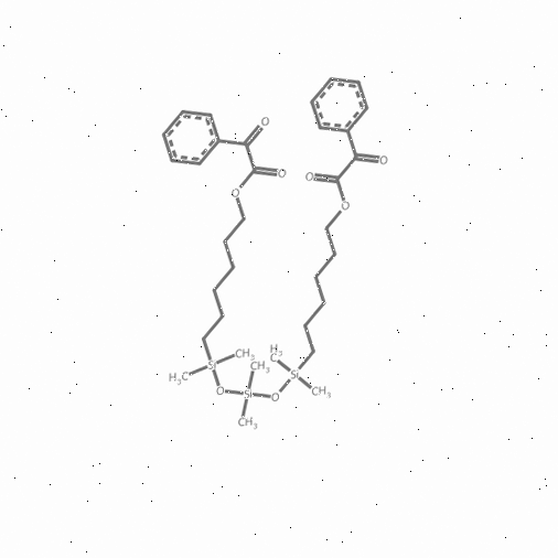 C[Si](C)(CCCCCCOC(=O)C(=O)c1ccccc1)O[Si](C)(C)O[Si](C)(C)CCCCCCOC(=O)C(=O)c1ccccc1